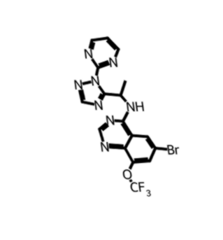 CC(Nc1ncnc2c(OC(F)(F)F)cc(Br)cc12)c1ncnn1-c1ncccn1